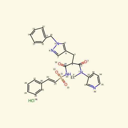 CCN(C(=O)C(Cc1cnn(Cc2ccccc2)c1)C(=O)NS(=O)(=O)/C=C/c1ccccc1)c1cccnc1.Cl